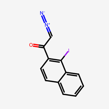 [N-]=[N+]=CC(=O)c1ccc2ccccc2c1I